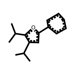 CC(C)c1cc(-c2ccccc2)oc1C(C)C